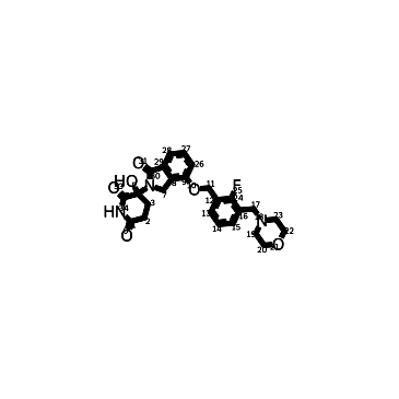 O=C1CCC(O)(N2Cc3c(OCc4cccc(CN5CCOCC5)c4F)cccc3C2=O)C(=O)N1